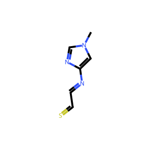 Cn1cnc(/N=C/C=S)c1